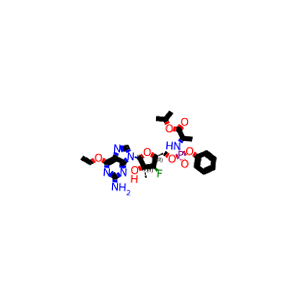 CCOc1nc(N)nc2c1ncn2[C@@H]1O[C@H](COP(=O)(NC(C)C(=O)OC(C)C)Oc2ccccc2)[C@@H](F)[C@@]1(C)O